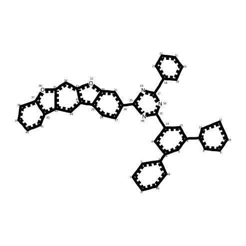 c1ccc(-c2cc(-c3ccccc3)cc(-c3nc(-c4ccccc4)nc(-c4ccc5c(c4)oc4cc6oc7ccccc7c6cc45)n3)c2)cc1